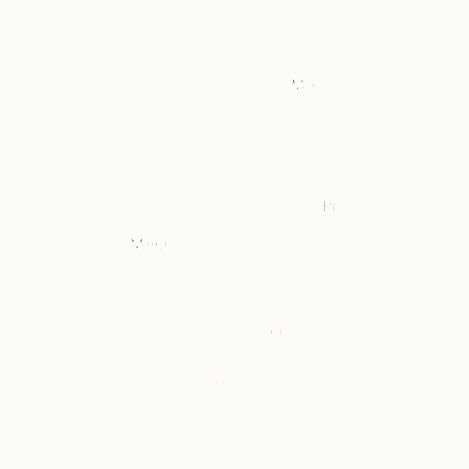 CCCC(=C(c1ccc(OC)cc1)c1ccc(OC)cc1)c1ccc(OCCO)cc1